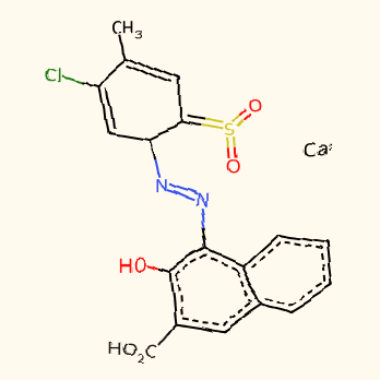 CC1=CC(=S(=O)=O)C(N=Nc2c(O)c(C(=O)O)cc3ccccc23)C=C1Cl.[Ca]